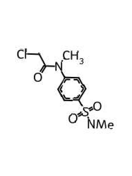 CNS(=O)(=O)c1ccc(N(C)C(=O)CCl)cc1